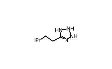 CC(C)CCC1=NNNN1